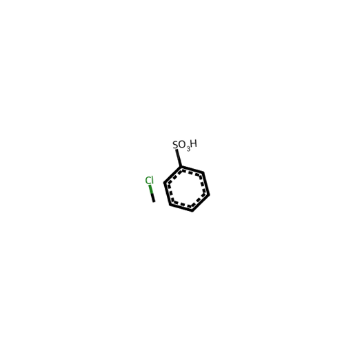 CCl.O=S(=O)(O)c1ccccc1